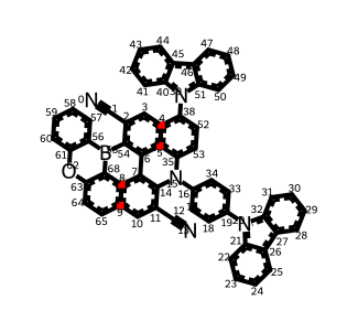 N#Cc1cccc(-c2cccc(C#N)c2N(c2ccc(-n3c4ccccc4c4ccccc43)cc2)c2ccc(-n3c4ccccc4c4ccccc43)cc2)c1B1c2ccccc2Oc2ccccc21